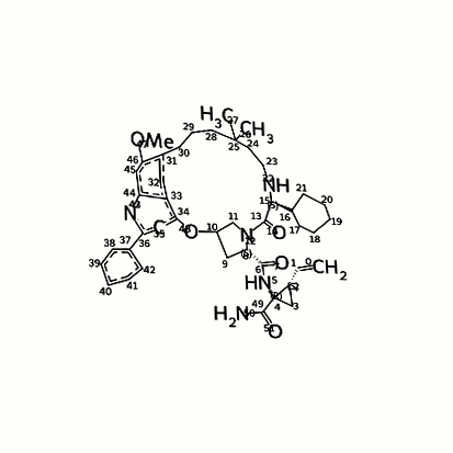 C=C[C@@H]1C[C@]1(NC(=O)[C@@H]1CC2CN1C(=O)[C@H](C1CCCCC1)NCCC(C)(C)CCCc1cc3c(cc(-c4ccccc4)nc3cc1OC)O2)C(N)=O